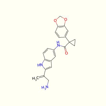 C=C(CN)c1cc2cc(NC(=O)C3(c4ccc5c(c4)OCO5)CC3)ccc2[nH]1